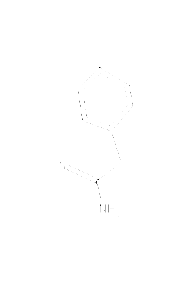 NC(=S)Cc1[c]cccc1